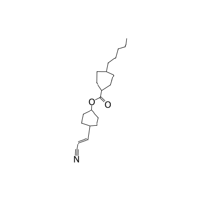 CCCCCC1CCC(C(=O)OC2CCC(/C=C/C#N)CC2)CC1